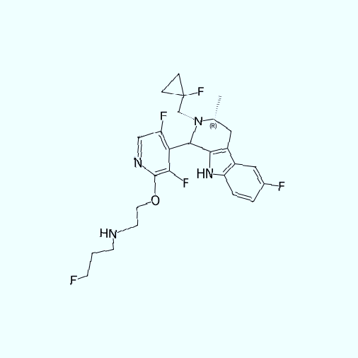 C[C@@H]1Cc2c([nH]c3ccc(F)cc23)C(c2c(F)cnc(OCCNCCCF)c2F)N1CC1(F)CC1